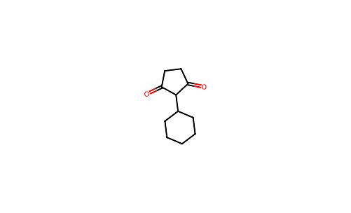 O=C1CCC(=O)C1C1CCCCC1